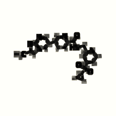 Cc1cn2cc(-c3ccc(C(=O)NCc4cc(S(=O)(=O)C5CC5)ccn4)nc3)cnc2n1